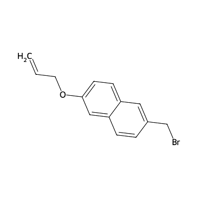 C=CCOc1ccc2cc(CBr)ccc2c1